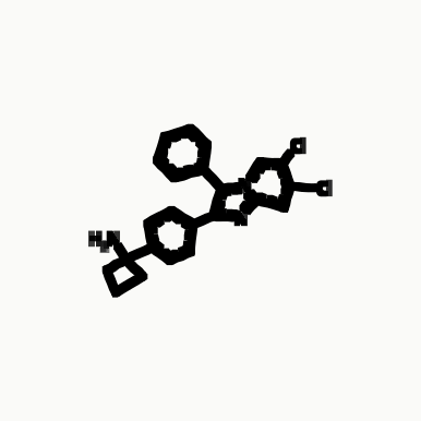 NC1(c2ccc(-c3nc4cc(Cl)c(Cl)cn4c3-c3ccccc3)cc2)CCC1